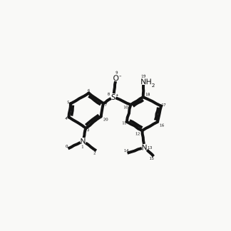 CN(C)c1cccc([S+]([O-])c2cc(N(C)C)ccc2N)c1